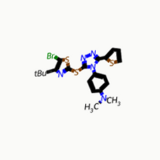 CN(C)c1ccc(-n2c(Sc3nc(C(C)(C)C)c(Br)s3)nnc2-c2cccs2)cc1